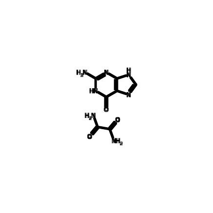 NC(=O)C(N)=O.Nc1nc2[nH]cnc2c(=O)[nH]1